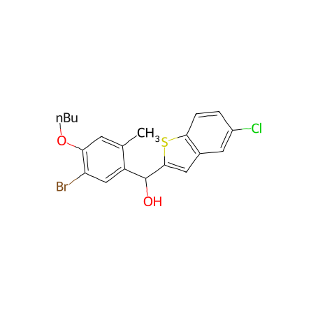 CCCCOc1cc(C)c(C(O)c2cc3cc(Cl)ccc3s2)cc1Br